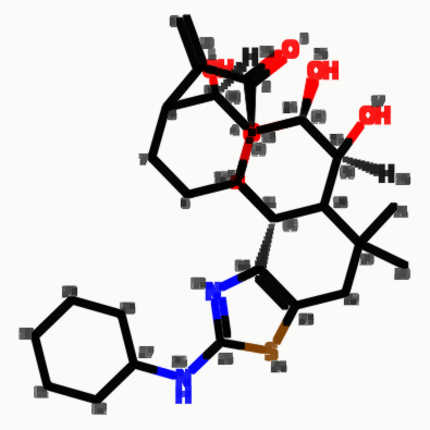 C=C1C(=O)[C@@]23C(CCC1[C@H]2O)[C@@]12CO[C@]3(O)[C@@H](O)C1C(C)(C)Cc1sc(NC3CCCCC3)nc12